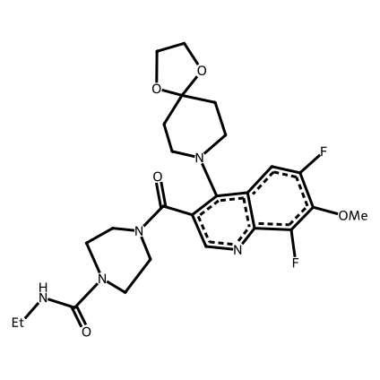 CCNC(=O)N1CCN(C(=O)c2cnc3c(F)c(OC)c(F)cc3c2N2CCC3(CC2)OCCO3)CC1